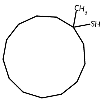 CC1(S)CCCCCCCCCCCC1